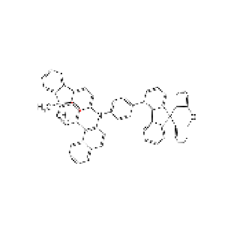 CC1(C)c2ccccc2-c2ccc(N(c3ccc(-c4cccc5c4-c4ccccc4C54c5ccccc5Oc5ccccc54)cc3)c3ccc4ccccc4c3-c3ccccc3)cc21